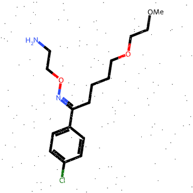 COCCOCCCCC(=NOCCN)c1ccc(Cl)cc1